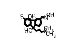 CN(C)CCCC(O)(c1ccc(F)cc1)c1ccc(C=NO)cc1CO